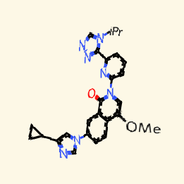 COc1cn(-c2cccc(-c3nncn3C(C)C)n2)c(=O)c2cc(-n3cnc(C4CC4)c3)ccc12